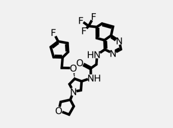 O=C(CNc1ncnc2ccc(C(F)(F)F)cc12)NC1CN(C2CCOC2)C[C@@H]1OCc1ccc(F)cc1